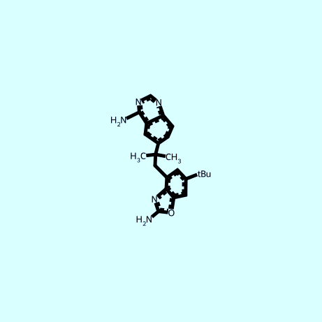 CC(C)(C)c1cc(CC(C)(C)c2ccc3ncnc(N)c3c2)c2nc(N)oc2c1